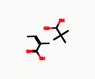 CC(C)(C)C(O)O.CC=C(C)C(=O)O